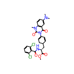 COC(=O)[C@H](CC1C=CC(n2c(=O)c3cc(N(C)C)ccc3n(C)c2=O)=CC1)NC(=O)c1c(Cl)cccc1Cl